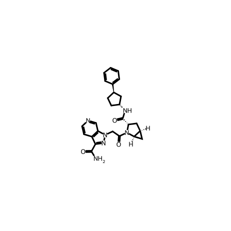 NC(=O)c1nn(CC(=O)N2[C@@H]3C[C@@H]3C[C@H]2C(=O)N[C@@H]2CC[C@@H](c3ccccc3)C2)c2cnccc12